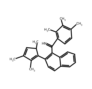 CC1=CC(C)C(c2ccc3ccccc3c2C(=N)c2ccc(C)c(C)c2C)=C1C